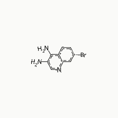 Nc1cnc2cc(Br)ccc2c1N